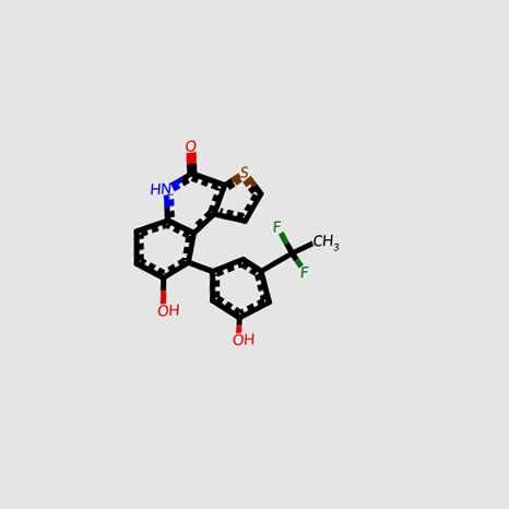 CC(F)(F)c1cc(O)cc(-c2c(O)ccc3[nH]c(=O)c4sccc4c23)c1